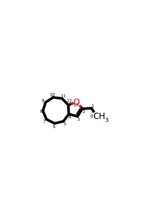 CCC1=CC2CCCCCCCC2O1